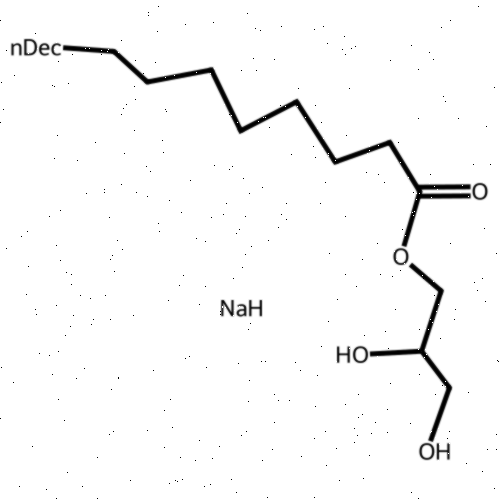 CCCCCCCCCCCCCCCCCC(=O)OCC(O)CO.[NaH]